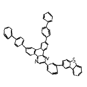 c1ccc(-c2ccc(-c3ccc4c(c3)c3cc(-c5ccc(-c6ccccc6)cc5)ccc3c3nc(-c5cccc(-c6ccc7sc8ccccc8c7c6)c5)cnc43)cc2)cc1